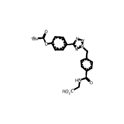 CC(C)(C)C(=O)Oc1ccc(-c2nnn(Cc3ccc(C(=O)NCC(=O)O)cc3)n2)cc1